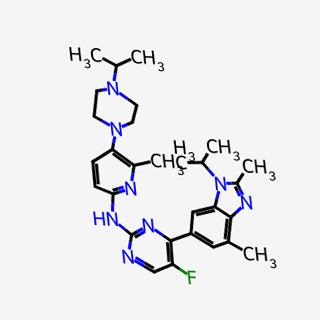 Cc1nc(Nc2ncc(F)c(-c3cc(C)c4nc(C)n(C(C)C)c4c3)n2)ccc1N1CCN(C(C)C)CC1